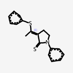 C/C(Sc1ccccc1)=C1/CCN(c2ccccc2)C1=S